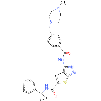 CN1CCN(Cc2ccc(C(=O)Nc3n[nH]c4sc(C(=O)NC5(c6ccccc6)CC5)cc34)cc2)CC1